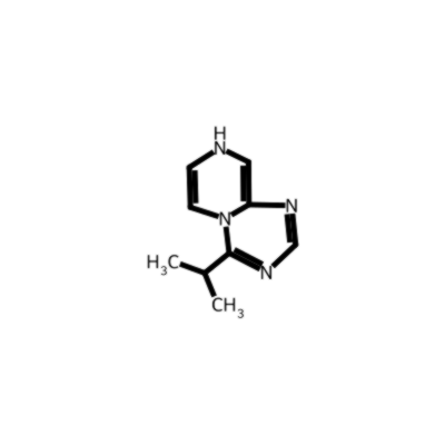 CC(C)C1=NC=NC2=CNC=CN21